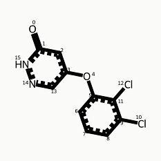 O=c1cc(Oc2cccc(Cl)c2Cl)cn[nH]1